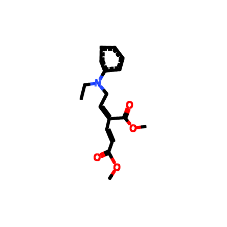 CCN(CC=C(C=CC(=O)OC)C(=O)OC)c1ccccc1